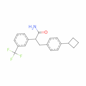 NC(=O)C(Cc1ccc(C2CCC2)cc1)c1cccc(C(F)(F)F)c1